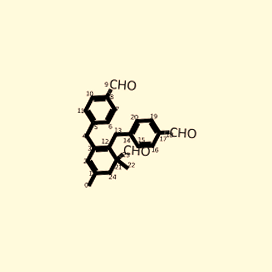 CC1=CC(Cc2ccc(C=O)cc2)=C(Cc2ccc(C=O)cc2)C(C)([C+]=O)C1